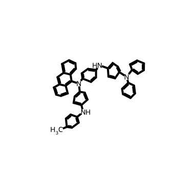 Cc1ccc(Nc2ccc(N(c3ccc(Nc4ccc(N(c5ccccc5)c5ccccc5)cc4)cc3)c3c4ccccc4cc4ccccc34)cc2)cc1